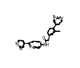 Cc1cc(CC(=O)Nc2ccc(-c3ccnnc3)nc2)ccc1-c1ccnnc1